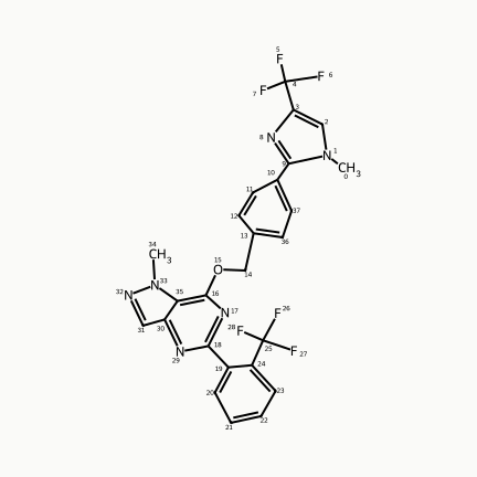 Cn1cc(C(F)(F)F)nc1-c1ccc(COc2nc(-c3ccccc3C(F)(F)F)nc3cnn(C)c23)cc1